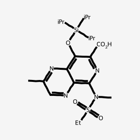 CCS(=O)(=O)N(C)c1nc(C(=O)O)c(O[Si](C(C)C)(C(C)C)C(C)C)c2nc(C)cnc12